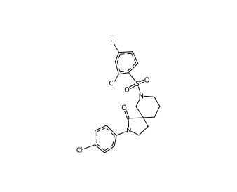 O=C1N(c2ccc(Cl)cc2)CCC12CCCN(S(=O)(=O)c1ccc(F)cc1Cl)C2